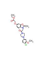 C=C1Oc2cc(OCC(=O)OCC)ccc2N1CC(=O)N1CCN(c2ccc(Cl)c(OC)c2)CC1